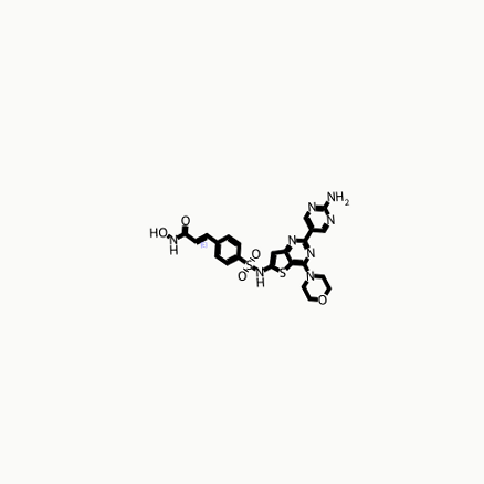 Nc1ncc(-c2nc(N3CCOCC3)c3sc(NS(=O)(=O)c4ccc(/C=C/C(=O)NO)cc4)cc3n2)cn1